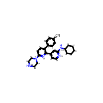 N#Cc1ccc(-c2ccc(N3CCNCC3)nc2-c2ccnc(NC3CCCCC3)c2)cc1